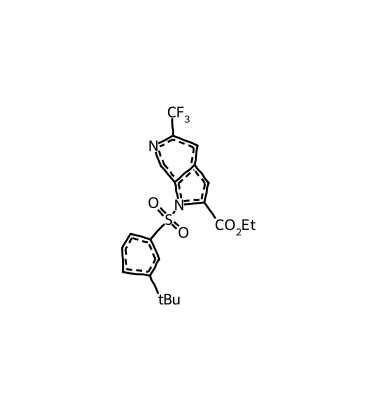 CCOC(=O)c1cc2cc(C(F)(F)F)ncc2n1S(=O)(=O)c1cccc(C(C)(C)C)c1